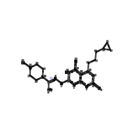 CCC/C(=N\Oc1nc2oc(=O)cc(CCCC3CC3)c2c(=O)[nH]1)N1CCN(CC)CC1